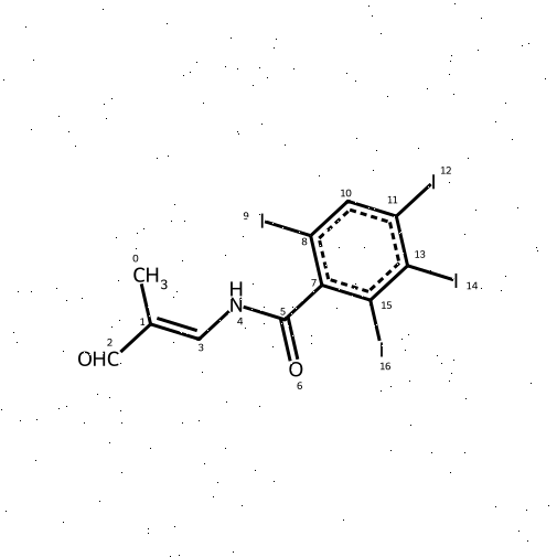 CC(C=O)=CNC(=O)c1c(I)cc(I)c(I)c1I